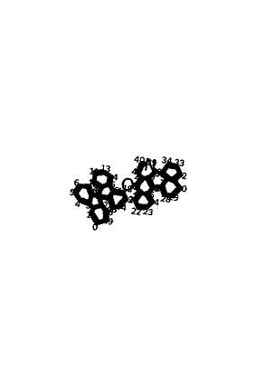 C1=CC2c3ccccc3C3(c4ccccc4-c4c(Oc5c6ccccc6c(-c6cccc7ccccc67)c6cnccc56)cccc43)C2C=C1